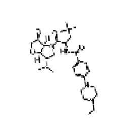 CCN1CCN(c2ccc(C(=O)NC(CC(C)(C)C)C(=O)N3C[C@H](C(C)C)[C@H]4OCC(=O)[C@H]43)cc2)CC1